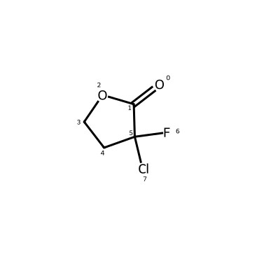 O=C1OCCC1(F)Cl